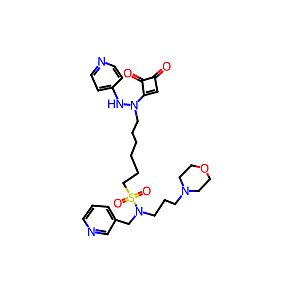 O=c1cc(N(CCCCCCS(=O)(=O)N(CCCN2CCOCC2)Cc2cccnc2)Nc2ccncc2)c1=O